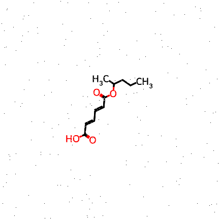 CCCC(C)OC(=O)C=CC=CC(=O)O